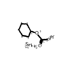 CCCC(=O)OC1CCCCC1.[SrH2]